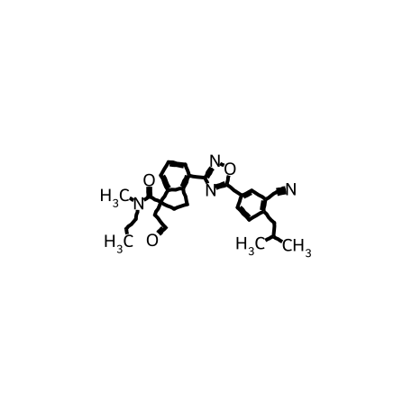 CCCN(C)C(=O)C1(CC=O)CCc2c(-c3noc(-c4ccc(CC(C)C)c(C#N)c4)n3)cccc21